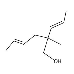 [CH2]C=CC(C)(CO)CC=CC